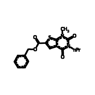 CCCn1c(=O)c2cc(C(=O)OCc3ccccc3)sc2n(C)c1=O